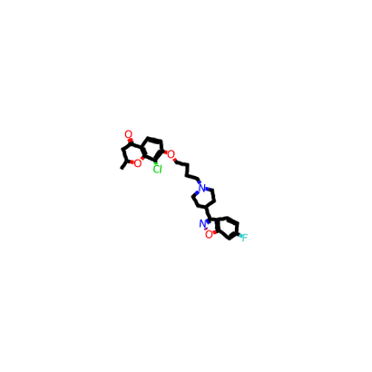 CC1CC(=O)c2ccc(OCCCCN3CCC(c4noc5cc(F)ccc45)CC3)c(Cl)c2O1